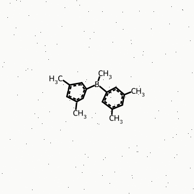 CB(c1cc(C)cc(C)c1)c1cc(C)cc(C)c1